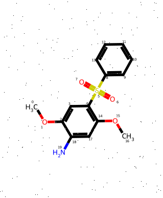 COc1cc(S(=O)(=O)c2ccccc2)c(OC)cc1N